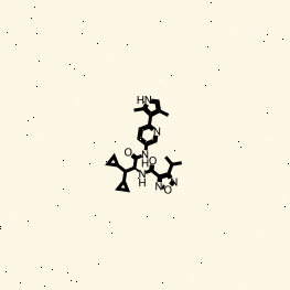 Cc1c[nH]c(C)c1-c1ccc(NC(=O)[C@@H](NC(=O)c2nonc2C(C)C)C(C2CC2)C2CC2)cn1